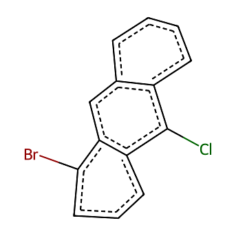 Clc1c2ccccc2cc2c(Br)cccc12